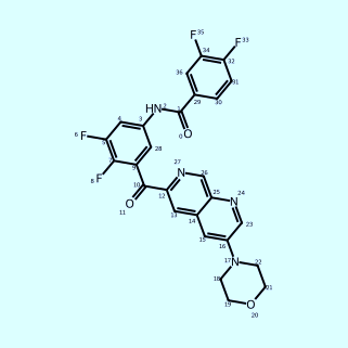 O=C(Nc1cc(F)c(F)c(C(=O)c2cc3cc(N4CCOCC4)cnc3cn2)c1)c1ccc(F)c(F)c1